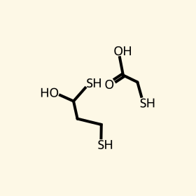 O=C(O)CS.OC(S)CCS